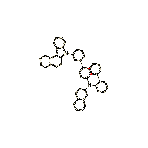 c1ccc(-c2ccccc2N(c2ccc(-c3cccc(-n4c5ccccc5c5c6ccccc6ccc54)c3)cc2)c2ccc3ccccc3c2)cc1